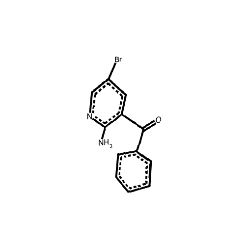 Nc1ncc(Br)cc1C(=O)c1ccccc1